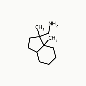 CC1(CN)CCC2CCCCC21C